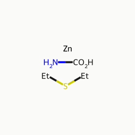 CCSCC.NC(=O)O.[Zn]